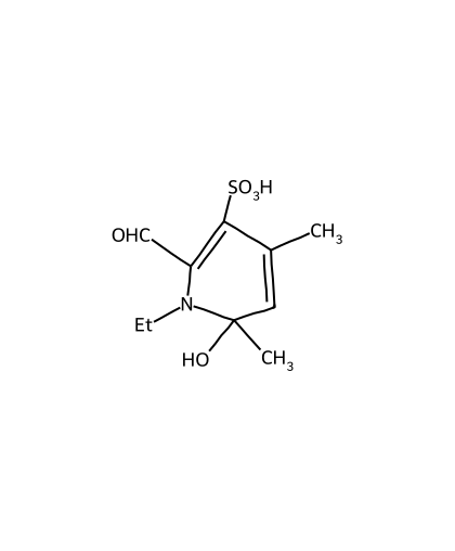 CCN1C(C=O)=C(S(=O)(=O)O)C(C)=CC1(C)O